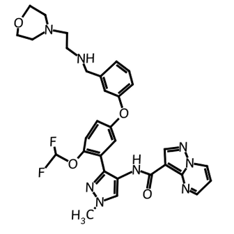 Cn1cc(NC(=O)c2cnn3cccnc23)c(-c2cc(Oc3cccc(CNCCN4CCOCC4)c3)ccc2OC(F)F)n1